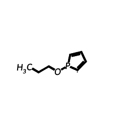 CCCOp1[c]ccc1